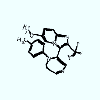 COc1ccc2nc(C(F)(F)F)c(C3=CN=CCN3c3ccc(C)cc3)n2c1